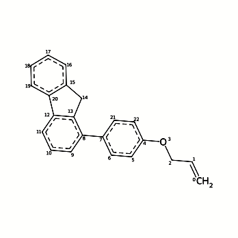 C=CCOc1ccc(-c2cccc3c2Cc2ccccc2-3)cc1